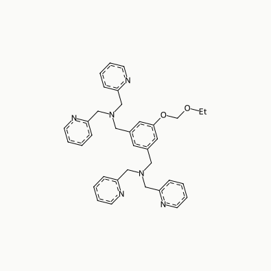 CCOCOc1cc(CN(Cc2ccccn2)Cc2ccccn2)cc(CN(Cc2ccccn2)Cc2ccccn2)c1